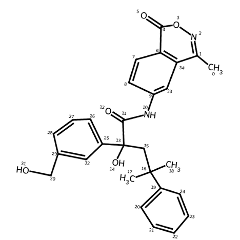 Cc1noc(=O)c2ccc(NC(=O)C(O)(CC(C)(C)c3ccccc3)c3cccc(CO)c3)cc12